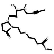 CC#CC[C@H](C)[C@H](O)C=C[C@H]1CCC(=O)N1CCSCCCC(=O)OC